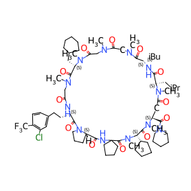 CC[C@H](C)[C@@H]1NC(=O)[C@H](CC(C)C)N(C)C(=O)C[C@@H](C(=O)N2CCCCC2)N(C)C(=O)[C@H](C2CCCC2)N(C)C(=O)C2(CCCC2)NC(=O)[C@@H]2CCCN2C(=O)[C@H](CCc2ccc(C(F)(F)F)c(Cl)c2)NC(=O)CN(C)C(=O)[C@H](CC2CCCCC2)N(C)C(=O)CN(C)C(=O)CN(C)C1=O